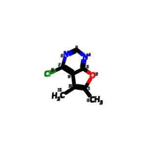 Cc1oc2ncnc(Cl)c2c1C